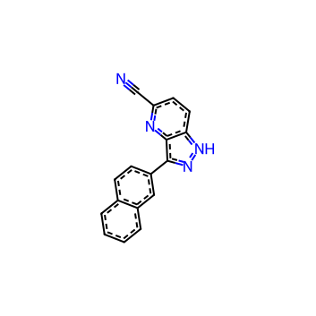 N#Cc1ccc2[nH]nc(-c3ccc4ccccc4c3)c2n1